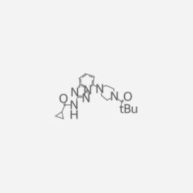 CC(C)(C)C(=O)N1CCN(c2cccc3nc(NC(=O)C4CC4)nn23)CC1